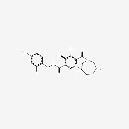 Cc1ccc(CNC(=O)c2cn3c(c(O)c2=O)C(=O)N2C[C@@H](F)CC[C@@H]3C2)c(F)c1